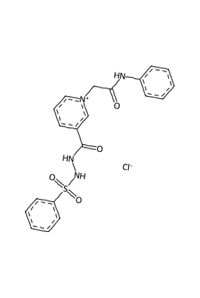 O=C(C[n+]1cccc(C(=O)NNS(=O)(=O)c2ccccc2)c1)Nc1ccccc1.[Cl-]